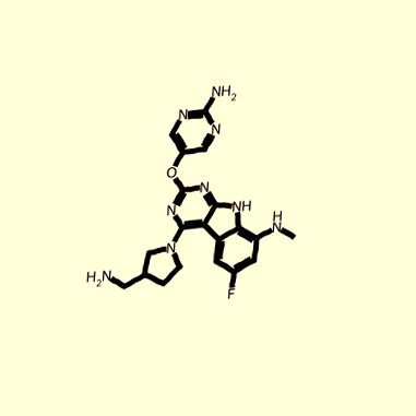 CNc1cc(F)cc2c1[nH]c1nc(Oc3cnc(N)nc3)nc(N3CCC(CN)C3)c12